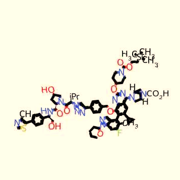 Cc1ncsc1-c1ccc([C@H](CO)NC(=O)[C@@H]2C[C@@H](O)CN2C(=O)[C@H](C(C)C)n2cc(-c3ccc(COc4c(-c5c(C)c(F)cc6c5cnn6C5CCCCO5)c(C5CC5)cc5c(N6C[C@@H]7C[C@H]6CN7C(=O)O)nc(OC6CCN(C(=O)OCC[Si](C)(C)C)CC6)nc45)cc3)nn2)cc1